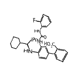 CC(C)C(Nc1ccc(-c2ccccc2C(=O)O)cc1NC(=O)Nc1ccccc1F)C1CCCCC1